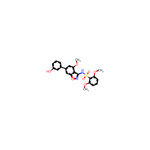 COc1cccc(OC)c1S(=O)(=O)Nc1noc2cc(-c3cccc(O)c3)cc(OC)c12